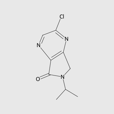 CC(C)N1Cc2nc(Cl)cnc2C1=O